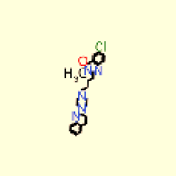 Cn1c(CCCCN2CCN(c3ccc4ccccc4n3)CC2)nc2ccc(Cl)cc2c1=O